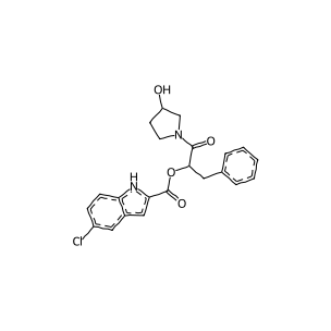 O=C(OC(Cc1ccccc1)C(=O)N1CCC(O)C1)c1cc2cc(Cl)ccc2[nH]1